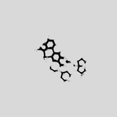 N#Cc1c(N)sc2c(F)ccc(-c3c(Cl)c4c5c(nc(OC[C@@]67CCCN6C[C@H](F)C7)nc5c3F)N(C3CCOCC3)CCO4)c12